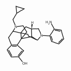 Nc1ccccc1N1C[C@H]2CC34CCC1C2C31CCN(CC2CC2)C4Cc2ccc(O)cc21